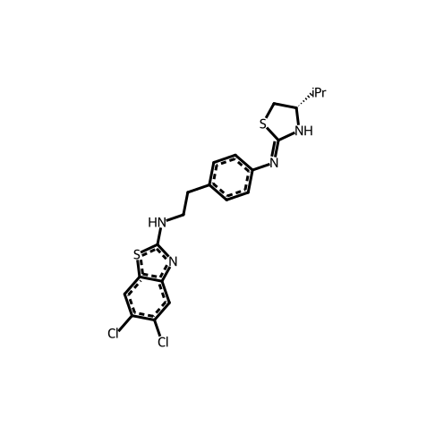 CC(C)[C@H]1CS/C(=N\c2ccc(CCNc3nc4cc(Cl)c(Cl)cc4s3)cc2)N1